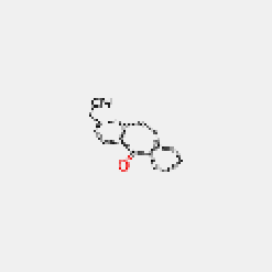 N#CCc1ccc2c(=O)c3ccccc3ccc2c1